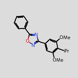 COc1cc(-c2noc(-c3ccccc3)n2)cc(OC)c1C(C)C